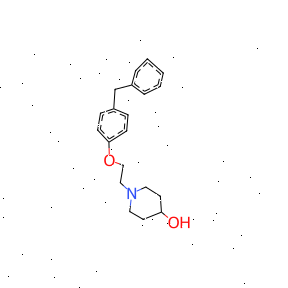 OC1CCN(CCOc2ccc(Cc3ccccc3)cc2)CC1